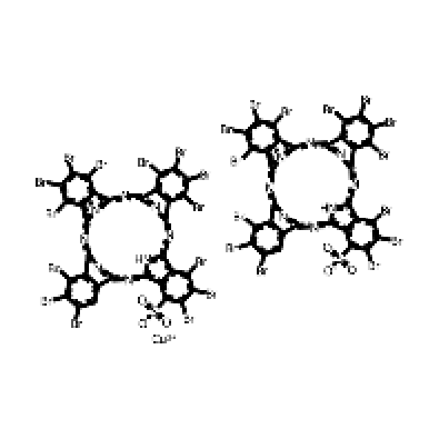 O=S(=O)([O-])c1c(Br)c(Br)c(Br)c2c3nc4nc(nc5c6c(Br)c(Br)c(Br)c(Br)c6c(nc6nc(nc([nH]3)c12)-c1cc(Br)c(Br)c(Br)c1-6)n5Br)-c1c(Br)c(Br)c(Br)c(Br)c1-4.O=S(=O)([O-])c1c(Br)c(Br)c(Br)c2c3nc4nc(nc5c6c(Br)c(Br)c(Br)c(Br)c6c(nc6nc(nc([nH]3)c12)-c1cc(Br)c(Br)c(Br)c1-6)n5Br)-c1c(Br)c(Br)c(Br)c(Br)c1-4.[Cu+2]